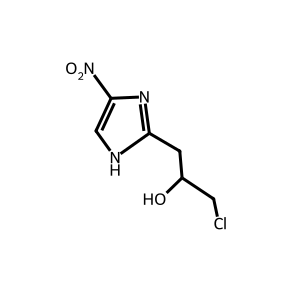 O=[N+]([O-])c1c[nH]c(CC(O)CCl)n1